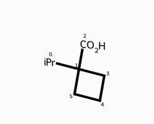 CC(C)C1(C(=O)O)CCC1